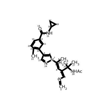 C=N/C=C(\C=C(/C)n1cc(-c2cc(C(=O)NC3CC3)ccc2C)cn1)C(C)(C)NC(C)=O